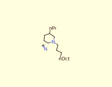 C#N.CCCCCCCCCCCN1CCCC(CCC)C1